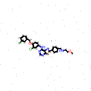 COCCNCc1ccc(-c2nc3c(Nc4ccc(OCc5cccc(F)c5)c(Cl)c4)ncnc3s2)cc1